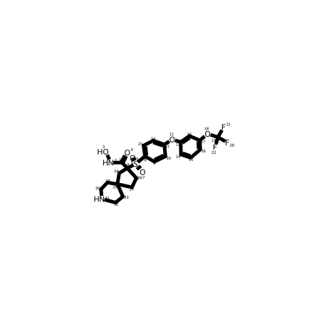 O=C(NO)C1(S(=O)(=O)c2ccc(Oc3cccc(OC(F)(F)F)c3)cc2)CCC2(CCNCC2)C1